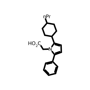 CCCC1CCC(c2ccc(-c3ccccc3)n2CC(=O)O)CC1